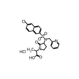 CC(C(=O)O)N1CCC(N(Cc2ccccn2)S(=O)(=O)c2ccc3cc(Cl)ccc3c2)C1=O.Cl